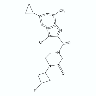 O=C(c1nc2c(C(F)(F)F)cc(C3CC3)cn2c1Cl)N1CCN(C2CC(F)C2)C(=O)C1